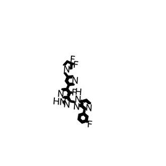 Fc1cccc(-c2nccc3[nH]c(-c4n[nH]c5ncc(-c6cncc(CN7CCC(F)(F)C7)c6)c(F)c45)nc23)c1